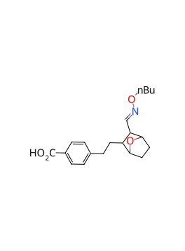 CCCCON=CC1C2CCC(O2)C1CCc1ccc(C(=O)O)cc1